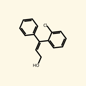 OCC=C(c1ccccc1)c1ccccc1Cl